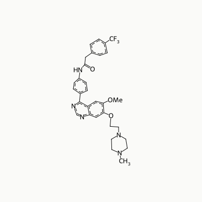 COc1cc2c(-c3ccc(NC(=O)Cc4ccc(C(F)(F)F)cc4)cc3)ncnc2cc1OCCN1CCN(C)CC1